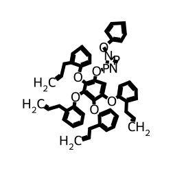 C=CCc1ccccc1Oc1cc(Op2npn2Oc2ccccc2)c(Oc2ccccc2CC=C)c(Oc2ccccc2CC=C)c1Oc1ccccc1CC=C